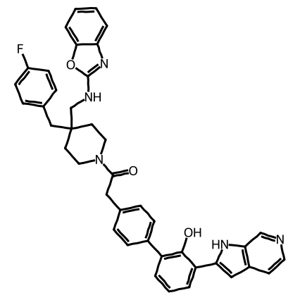 O=C(Cc1ccc(-c2cccc(-c3cc4ccncc4[nH]3)c2O)cc1)N1CCC(CNc2nc3ccccc3o2)(Cc2ccc(F)cc2)CC1